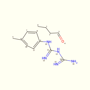 CCCC=O.Cc1ccc(NC(=N)NC(=N)N)cc1